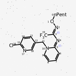 CCCCCO/N=C(/N=c1/ccccn1Cc1ccc(Cl)nc1)C(F)(F)F